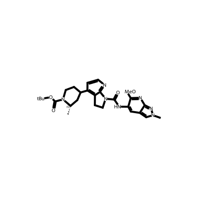 COc1nc2nn(C)cc2cc1NC(=O)N1CCc2c(C3CCN(C(=O)OC(C)(C)C)[C@@H](C)C3)ccnc21